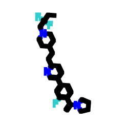 C=C(c1ccc(-c2ccc(CCC3CCN(CC(F)(F)CC)CC3)nc2)cc1F)N1CCCC1